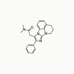 CN(C)C(=O)Cc1c(-c2ccccc2)nc2n3c4c(cccc4n12)CCC3